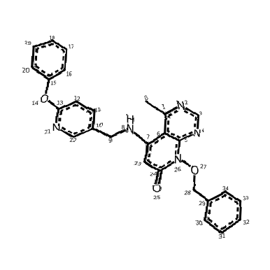 Cc1ncnc2c1c(NCc1ccc(Oc3ccccc3)nc1)cc(=O)n2OCc1ccccc1